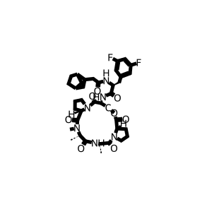 C[C@@H]1NC(=O)[C@H](C)N(C)C(=O)[C@@H]2CCCN2C(=O)[C@@H](NC(=O)[C@H](Cc2cc(F)cc(F)c2)NC(=O)CC2CC3CCC2C3)COC(=O)[C@@H]2CCCN2C1=O